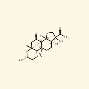 CC(=O)[C@@]1(O)CC[C@H]2[C@@H]3C(=O)C[C@H]4C[C@@H](O)CC[C@]4(C)[C@H]3CC[C@@]21C